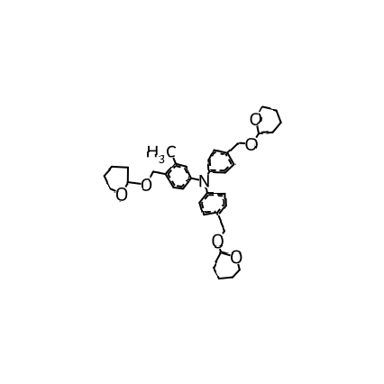 Cc1cc(N(c2ccc(COC3CCCCO3)cc2)c2ccc(COC3CCCCO3)cc2)ccc1COC1CCCCO1